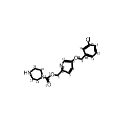 O=C(OCc1ccc(OCc2cccc(Cl)c2)cn1)N1CCNCC1